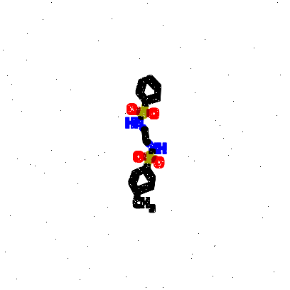 Cc1ccc(S(=O)(=O)NCCNS(=O)(=O)c2ccccc2)cc1